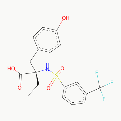 CC[C@@](Cc1ccc(O)cc1)(NS(=O)(=O)c1cccc(C(F)(F)F)c1)C(=O)O